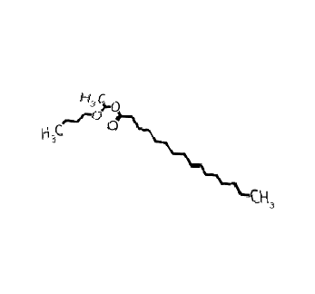 CCCCCCC=CCCCCCCCC(=O)OC(C)OCCCC